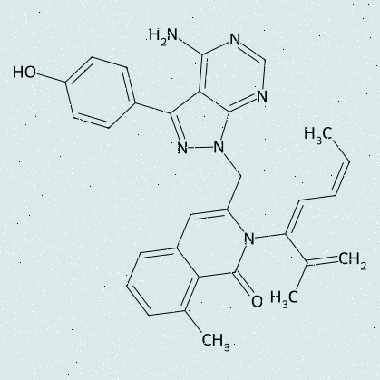 C=C(C)/C(=C\C=C/C)n1c(Cn2nc(-c3ccc(O)cc3)c3c(N)ncnc32)cc2cccc(C)c2c1=O